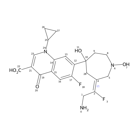 NC/C(F)=C1/CN(O)CCC(O)(c2cc3c(cc2F)c(=O)c(C(=O)O)cn3C2CC2)C1